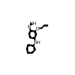 C=CCOc1cc(Nc2ccccc2)ccc1N=N